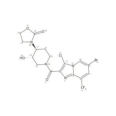 O=C(c1nc2c(C(F)(F)F)cc(Br)cn2c1Cl)N1CC[C@H](N2CCOC2=O)[C@@H](O)C1